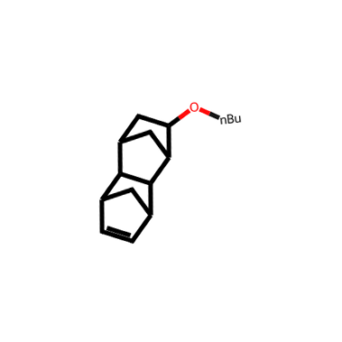 CCCCOC1CC2CC1C1C3C=CC(C3)C21